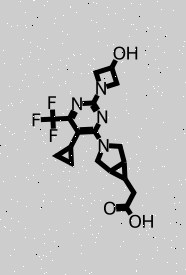 O=C(O)CC1C2CN(c3nc(N4CC(O)C4)nc(C(F)(F)F)c3C3CC3)CC12